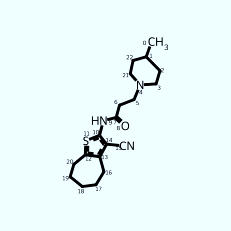 CC1CCN(CCC(=O)Nc2sc3c(c2C#N)CCCCC3)CC1